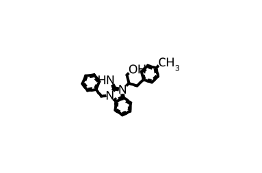 Cc1ccc(CC(CO)n2c(=N)n(Cc3ccccc3)c3ccccc32)cc1